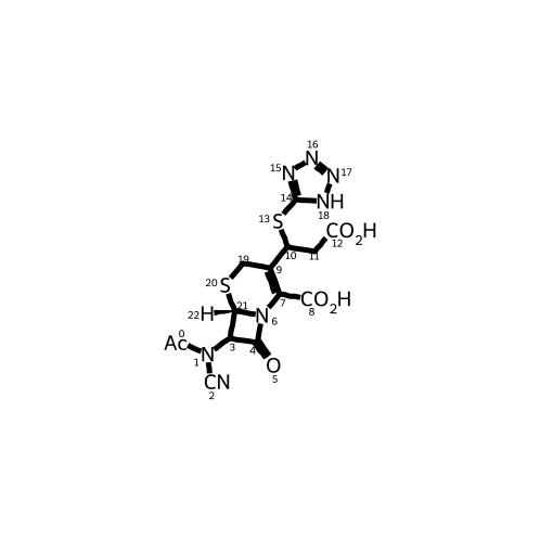 CC(=O)N(C#N)C1C(=O)N2C(C(=O)O)=C(C(CC(=O)O)Sc3nnn[nH]3)CS[C@@H]12